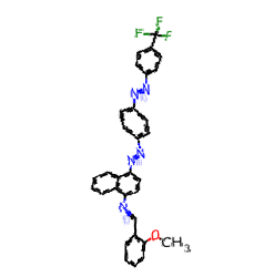 COc1ccccc1/C=N/c1ccc(/N=N/c2ccc(/N=N/c3ccc(C(F)(F)F)cc3)cc2)c2ccccc12